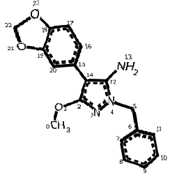 COc1nn(Cc2ccccc2)c(N)c1-c1ccc2c(c1)OCO2